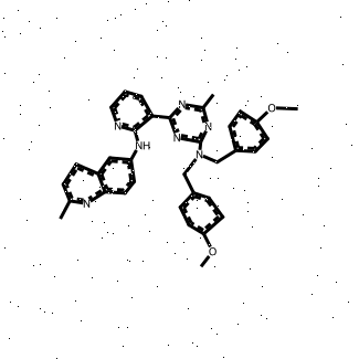 COc1ccc(CN(Cc2ccc(OC)cc2)c2nc(C)nc(-c3cccnc3Nc3ccc4nc(C)ccc4c3)n2)cc1